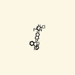 O=C(c1ccccc1-n1nccn1)N1CC2CN(c3nc(Cl)ncc3F)CC2C1